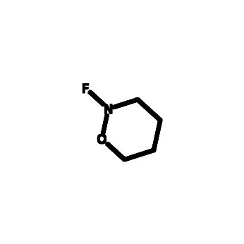 FN1CCCCO1